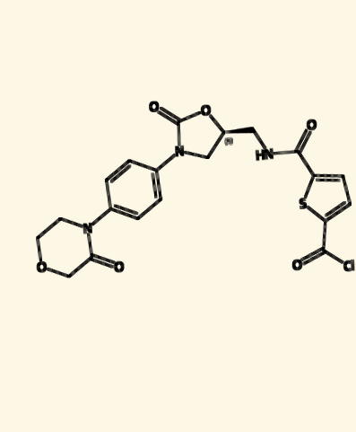 O=C(Cl)c1ccc(C(=O)NC[C@H]2CN(c3ccc(N4CCOCC4=O)cc3)C(=O)O2)s1